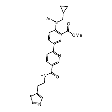 COC(=O)c1cc(-c2ccc(C(=O)NCCc3cncs3)cn2)ccc1N(CC1CC1)C(C)=O